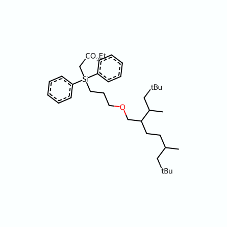 CCOC(=O)C[Si](CCCOCC(CCC(C)CC(C)(C)C)C(C)CC(C)(C)C)(c1ccccc1)c1ccccc1